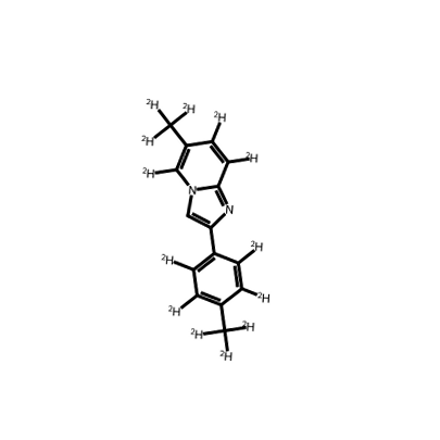 [2H]c1c([2H])c(C([2H])([2H])[2H])c([2H])c([2H])c1-c1cn2c([2H])c(C([2H])([2H])[2H])c([2H])c([2H])c2n1